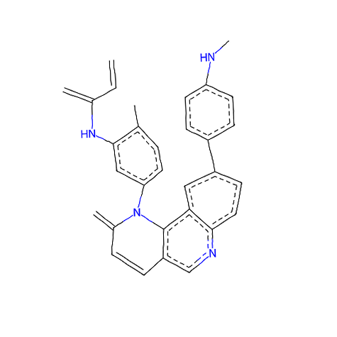 C=CC(=C)Nc1cc(N2C(=C)C=Cc3cnc4ccc(-c5ccc(NC)cc5)cc4c32)ccc1C